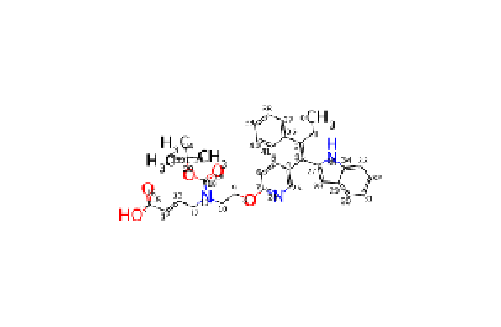 CC/C(=C(/c1ccc(OCCN(C/C=C/C(=O)O)C(=O)OC(C)(C)C)nc1)c1cc2ccccc2[nH]1)c1ccccc1